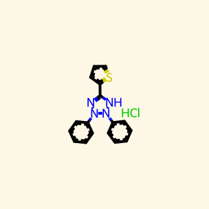 Cl.c1ccc(N2N=C(c3cccs3)NN2c2ccccc2)cc1